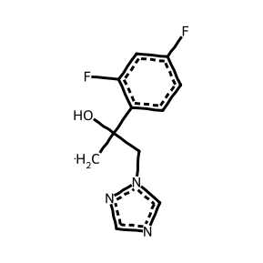 [CH2]C(O)(Cn1cncn1)c1ccc(F)cc1F